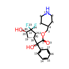 O=C(OCC1CCNCC1)[C@](O)(c1ccccc1)[C@@H]1C[C@@H](O)C(F)(F)C1